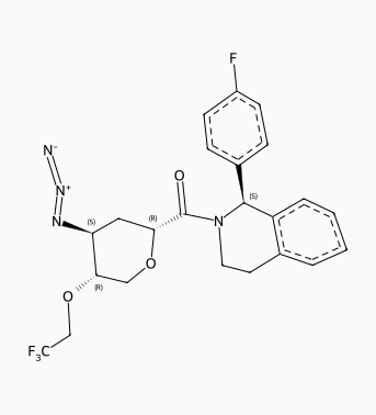 [N-]=[N+]=N[C@H]1C[C@H](C(=O)N2CCc3ccccc3[C@@H]2c2ccc(F)cc2)OC[C@@H]1OCC(F)(F)F